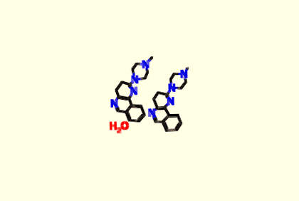 CN1CCN(C2=Nc3c(ncc4ccccc34)CC2)CC1.CN1CCN(C2=Nc3c(ncc4ccccc34)CC2)CC1.O